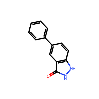 O=c1[nH][nH]c2ccc(-c3ccccc3)cc12